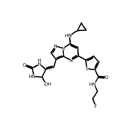 O=C1N/C(=C\c2cnn3c(NC4CC4)cc(-c4ccc(C(=O)NCCF)s4)nc23)C(O)N1